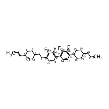 C/C=C/C1CCC(CCc2ccc(-c3ccc(C4CCC(CCC)CC4)c(F)c3F)c(F)c2F)CO1